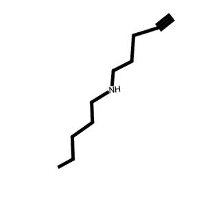 C#CCCCNCCCCC